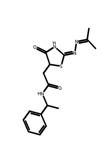 CC(C)=N/N=C1\NC(=O)C(CC(=O)NC(C)c2ccccc2)S1